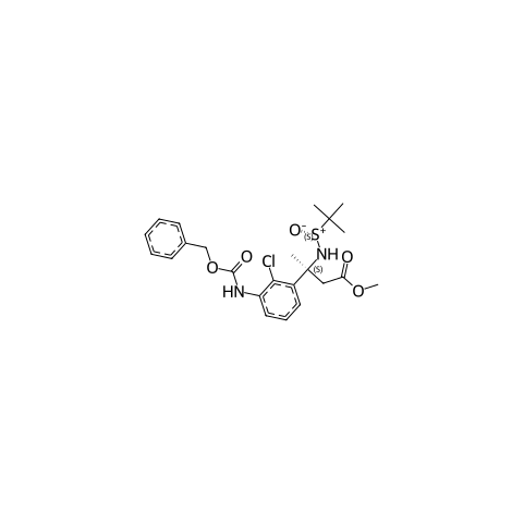 COC(=O)C[C@](C)(N[S@+]([O-])C(C)(C)C)c1cccc(NC(=O)OCc2ccccc2)c1Cl